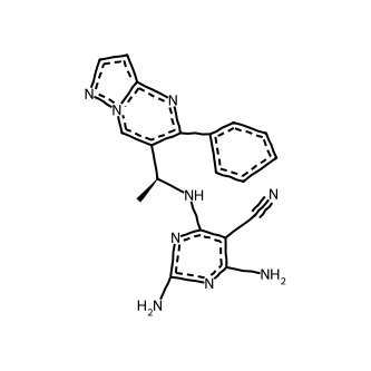 C[C@H](Nc1nc(N)nc(N)c1C#N)c1cn2nccc2nc1-c1ccccc1